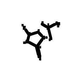 CC(=O)N(C)C.O=C1OCC(F)O1